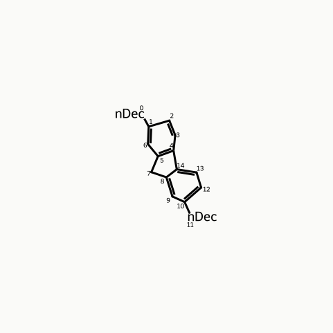 CCCCCCCCCCc1ccc2c(c1)Cc1cc(CCCCCCCCCC)ccc1-2